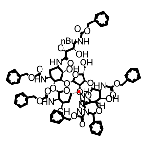 CCCCO[C@H](C(=O)N[C@@H]1C[C@H](NC(=O)OCc2ccccc2)[C@@H](O[C@H]2O[C@H](CN=[N+]=[N-])C[C@@H](O)[C@H]2NC(=O)OCc2ccccc2)[C@H](O[C@@H]2O[C@H](CO)[C@@H](O[C@H]3O[C@H]4CN(C(=O)OCc5ccccc5)C(c5ccccc5)O[C@H]4[C@H](O)[C@H]3NC(=O)OCc3ccccc3)[C@H]2O)[C@H]1O)[C@@H](O)CNC(=O)OCc1ccccc1